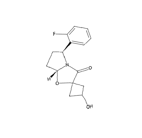 O=C1N2[C@@H](CC[C@H]2c2ccccc2F)OC12CC(O)C2